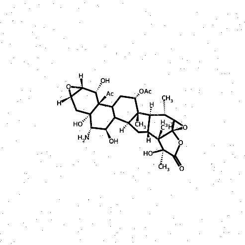 CC(=O)O[C@H]1CC2C([C@@H](O)[C@H](N)[C@@]3(O)C[C@@H]4O[C@@H]4[C@H](O)[C@]23C(C)=O)[C@@H]2C[C@@H]3[C@H]([C@H](C)[C@H]4O[C@]45OC(=O)[C@@](C)(O)[C@]35C)[C@@]12C